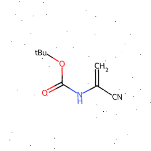 C=C(C#N)NC(=O)OC(C)(C)C